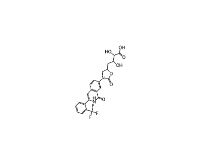 O=C(O)C(O)C(O)CC1CN(c2ccc3cc(-c4ccccc4C(F)(F)F)[nH]c(=O)c3c2)C(=O)O1